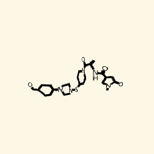 CC(NC(=O)C1CC(=O)N(C)C1)C(=O)N1CCC(SN2CCN(C3CCC(C=O)CC3)CC2)CC1